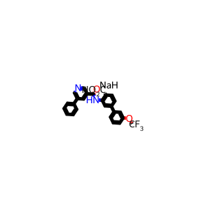 O=C(Nc1cc(-c2cccc(OC(F)(F)F)c2)ccc1C(=O)O)c1cncc(-c2ccccc2)c1.[NaH]